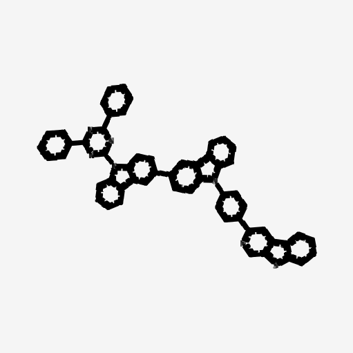 c1ccc(-c2nc(-c3ccccc3)nc(-n3c4ccccc4c4cc(-c5ccc6c(c5)c5ccccc5n6-c5ccc(-c6cc7c(cn6)sc6ccccc67)cc5)ccc43)n2)cc1